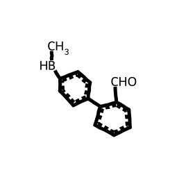 CBc1ccc(-c2ccccc2C=O)cc1